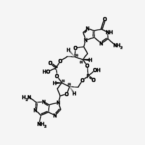 Nc1nc(N)c2ncn(C3C[C@@H]4OP(=O)(O)OC[C@H]5OC(n6cnc7c(=O)[nH]c(N)nc76)C[C@@H]5OP(=O)(O)OC[C@H]4O3)c2n1